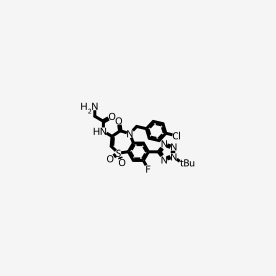 CC(C)(C)n1nnc(-c2cc3c(cc2F)S(=O)(=O)C=C(NC(=O)CN)C(=O)N3Cc2ccc(Cl)cc2)n1